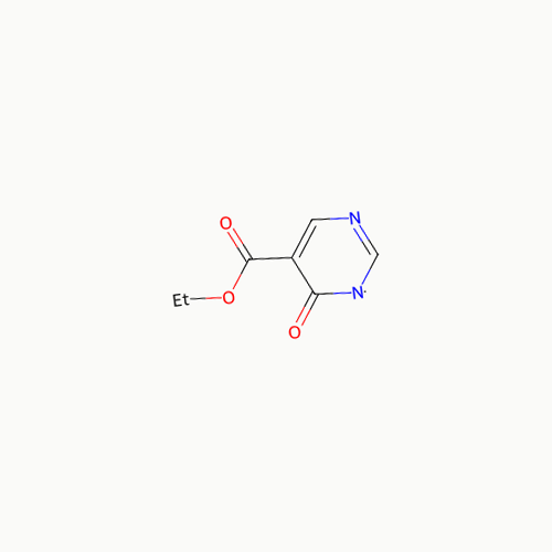 CCOC(=O)C1=CN=C[N]C1=O